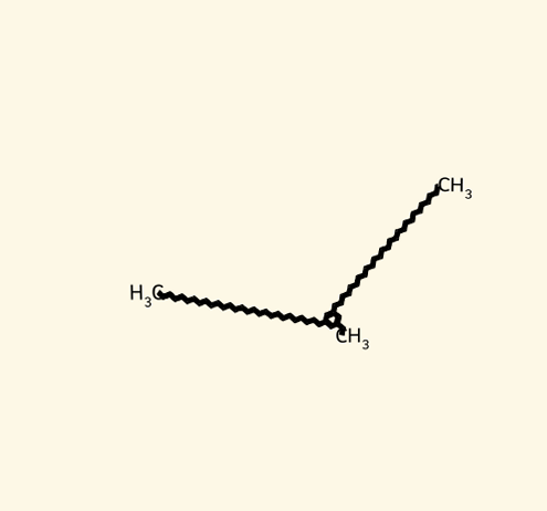 CCCCCCCCCCCCCCCCCCCCCCCCCCCCc1cc(CC)cc(CCCCCCCCCCCCCCCCCCCCCCCCCCCC)c1